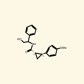 COc1ccc([C@H]2C[C@@H]2C(=O)NC(CO)c2ccccc2)cc1